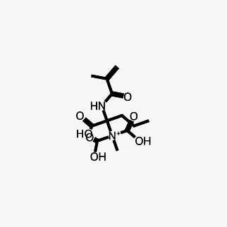 C=C(C)C(=O)NC(CCC)(C(=O)O)[N+](C)(C(=O)O)C(=O)O